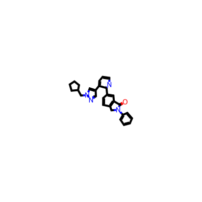 O=C1c2cc(-c3ncccc3-c3cnn(CC4CCCC4)c3)ccc2CN1c1ccccc1